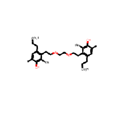 Cc1cc(CCC(=O)O)c(CCOCCOCCc2c(CCC(=O)O)cc(C)c(O)c2C(C)(C)C)c(C(C)(C)C)c1O